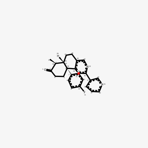 C[C@@H]1C(=O)CC[C@]2(c3ccc(F)cc3)c3nc(-c4cccnc4)ncc3CC[C@@H]12